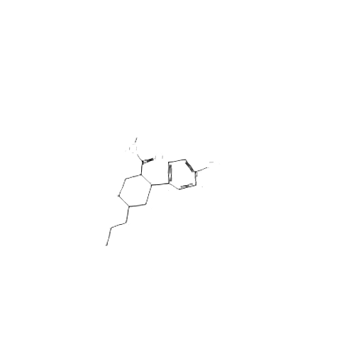 CCCC1CCC(C(=O)OC)C(c2ccc(F)cc2)C1